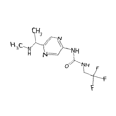 CNC(C)c1cnc(NC(=O)NCC(F)(F)F)cn1